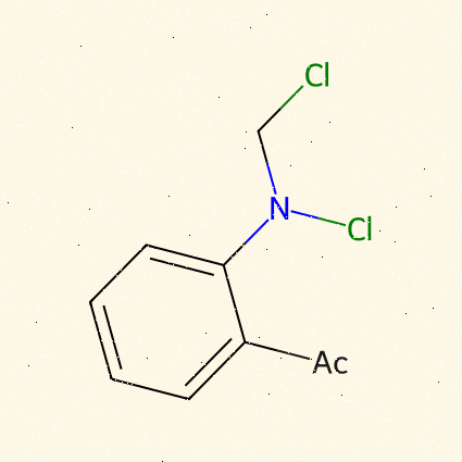 CC(=O)c1ccccc1N(Cl)CCl